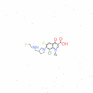 O=C(O)c1cn(C2CC2)c2c(Cl)c(N3CCC(CNCCF)C3)c(F)cc2c1=O